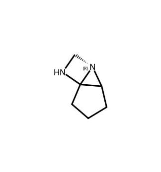 C1CC2[N@@]3CNC23C1